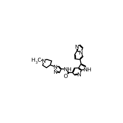 CN1CCC(n2cc(NC(=O)c3cnc4[nH]cc(-c5ccc6nccn6c5)c4c3)cn2)CC1